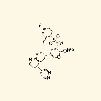 COC1OC=C(c2ccc3nccc(-c4ccnnc4)c3c2)C=C1NS(=O)(=O)c1ccc(F)cc1F